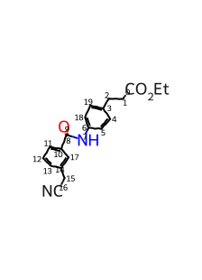 CCOC(=O)CCc1ccc(NC(=O)c2cccc(CC#N)c2)cc1